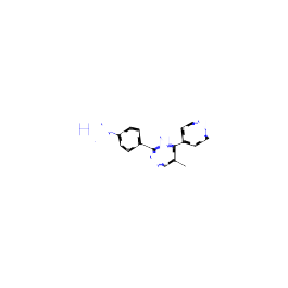 Cc1cnc(-c2ccc(N)cc2)nc1-c1ccncc1